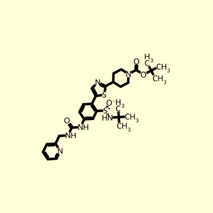 CC(C)(C)N[S+]([O-])c1cc(NC(=O)NCc2ccccn2)ccc1-c1cnc(C2CCN(C(=O)OC(C)(C)C)CC2)s1